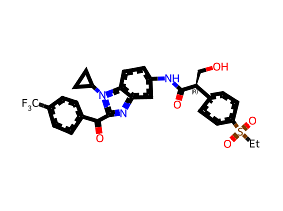 CCS(=O)(=O)c1ccc([C@H](CO)C(=O)Nc2ccc3c(c2)nc(C(=O)c2ccc(C(F)(F)F)cc2)n3C2CC2)cc1